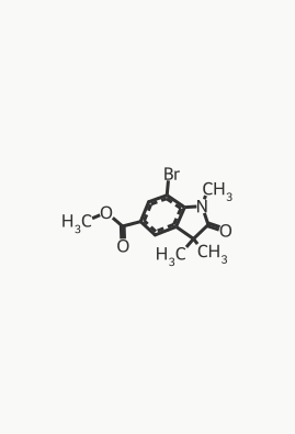 COC(=O)c1cc(Br)c2c(c1)C(C)(C)C(=O)N2C